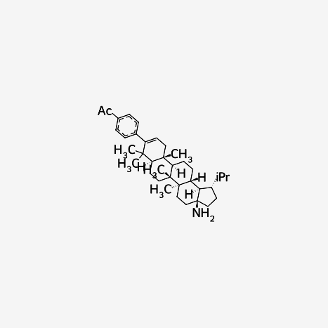 CC(=O)c1ccc(C2=CC[C@]3(C)[C@H]4CC[C@@H]5[C@H]6[C@H](C(C)C)CC[C@]6(N)CC[C@@]5(C)[C@]4(C)CC[C@H]3C2(C)C)cc1